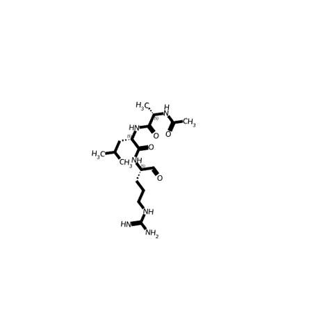 CC(=O)N[C@@H](C)C(=O)N[C@@H](CC(C)C)C(=O)N[C@H](C=O)CCCNC(=N)N